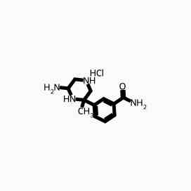 CC1(c2cccc(C(N)=O)c2)CNCC(N)N1.Cl